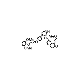 COCCCN1C(=O)CCc2ccc(CO[C@H]3CNCC[C@@H]3c3ccc(OCCCOc4c(OC)cccc4OC)cc3)cc21